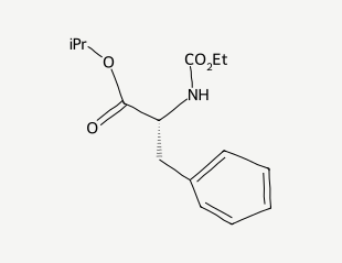 CCOC(=O)N[C@H](Cc1ccccc1)C(=O)OC(C)C